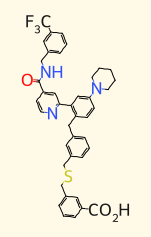 O=C(O)c1cccc(CSCc2cccc(Cc3ccc(N4CCCCC4)cc3-c3cc(C(=O)NCc4cccc(C(F)(F)F)c4)ccn3)c2)c1